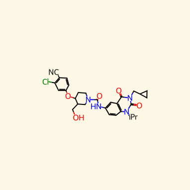 CC(C)n1c(=O)n(CC2CC2)c(=O)c2cc(NC(=O)N3CCC(Oc4ccc(C#N)c(Cl)c4)C(CO)C3)ccc21